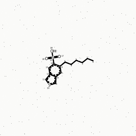 CCCCCCc1cc2[c]s[c]c2cc1S(=O)(=O)O